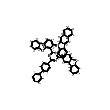 c1ccc(-c2ccc(-c3nc(-c4ccc5sc6ccccc6c5c4)nc(-c4c(-n5c6ccccc6c6cc7ccccc7cc65)ccc5c4oc4ccccc45)n3)cc2)cc1